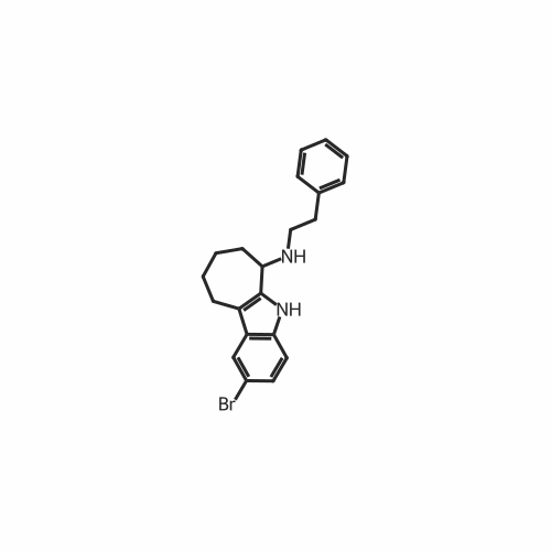 Brc1ccc2[nH]c3c(c2c1)CCCCC3NCCc1ccccc1